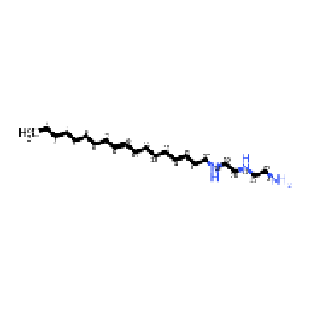 CCCCCCCCC=CCCCCCCCCNCCNCCN